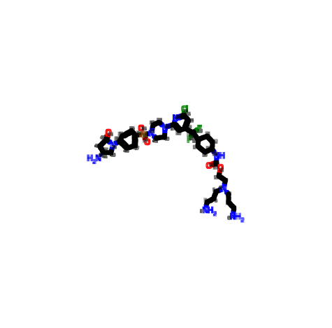 NCCCN(CCCN)CCOC(=O)NC1CCC(C(F)(F)c2cc(Cl)nc(N3CCN(S(=O)(=O)c4ccc(N5C[C@H](N)CC5=O)cc4)CC3)c2)CC1